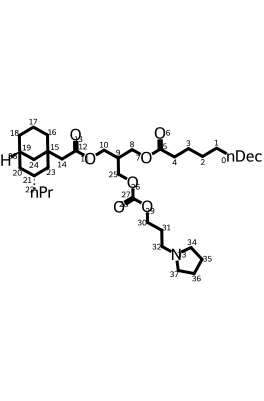 CCCCCCCCCCCCCCC(=O)OCC(COC(=O)CC12CCC[C@@H](C[C@@H](CCC)C1)C2)COC(=O)OCCCN1CCCC1